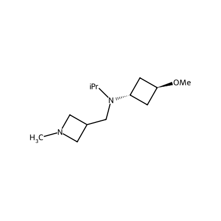 CO[C@H]1C[C@H](N(CC2CN(C)C2)C(C)C)C1